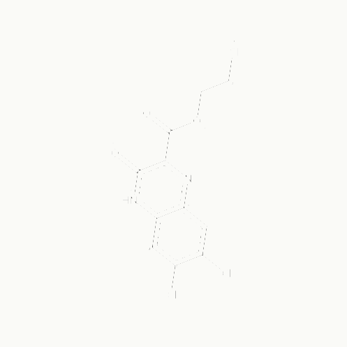 O=C(OCCCl)c1nc2cc(Cl)c(Cl)cc2[nH]c1=O